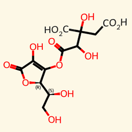 O=C(O)CC(O)(C(=O)O)C(O)C(=O)OC1=C(O)C(=O)O[C@@H]1[C@@H](O)CO